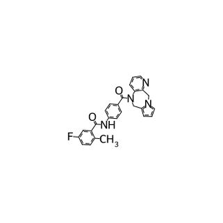 Cc1ccc(F)cc1C(=O)Nc1ccc(C(=O)N2Cc3cccn3Cc3ncccc32)cc1